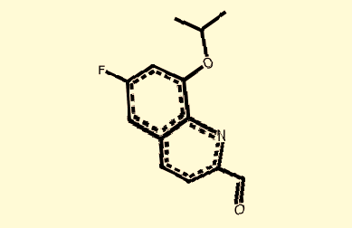 CC(C)Oc1cc(F)cc2ccc(C=O)nc12